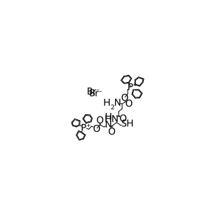 NC(CCC(=O)NC(CS)C(=O)NCC(=O)OCC[P+](c1ccccc1)(c1ccccc1)c1ccccc1)C(=O)OCC[P+](c1ccccc1)(c1ccccc1)c1ccccc1.[Br-].[Br-]